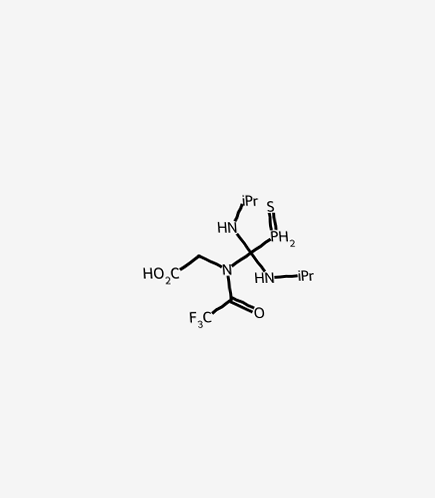 CC(C)NC(NC(C)C)([PH2]=S)N(CC(=O)O)C(=O)C(F)(F)F